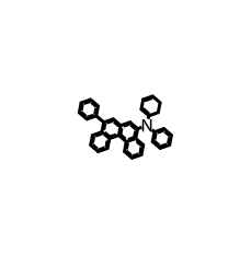 C1=CCCC(N(c2ccccc2)c2cc3cc(-c4ccccc4)c4ccccc4c3c3ccccc23)=C1